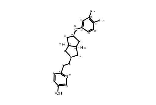 Oc1ccc(CCN2C[C@H]3C[C@@H](Oc4ccc(F)c(F)c4)C[C@H]3C2)nc1